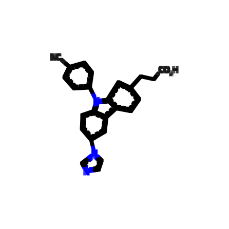 N#Cc1ccc(-n2c3ccc(-n4ccnc4)cc3c3ccc(CCC(=O)O)cc32)cc1